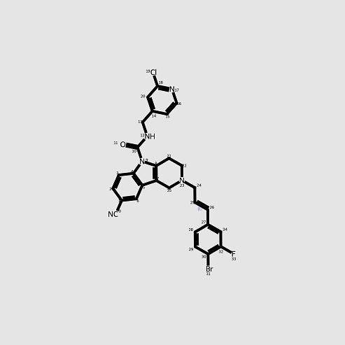 N#Cc1ccc2c(c1)c1c(n2C(=O)NCc2ccnc(Cl)c2)CCN(C/C=C/c2ccc(Br)c(F)c2)C1